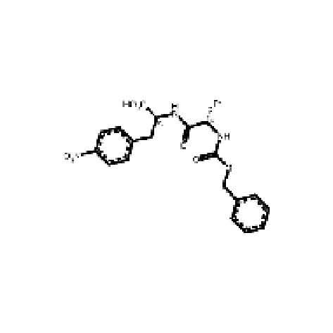 CC(C)[C@H](NC(=O)OCc1ccccc1)C(=O)N[C@@H](Cc1ccc([N+](=O)[O-])cc1)C(=O)O